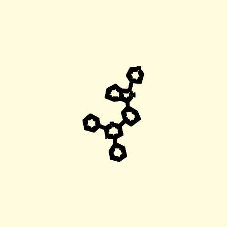 c1ccc(-c2cc(-c3cccc(-c4nn(-c5ccncc5)c5ccccc45)c3)nc(-c3ccccc3)n2)cc1